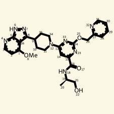 COc1ccnc2[nH]nc(C3CCN(c4cc(C(=O)N[C@H](C)CO)nc(OCc5ccccn5)n4)CC3)c12